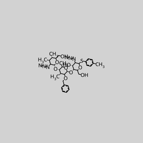 Cc1ccc(SC2OC(CO)[C@@H](O[C@@H]3OC(C)[C@@H](O[C@H]4OC(CO)[C@@H](C)[C@H](C)C4N=[N+]=[N-])[C@H](C)C3OCc3ccccc3)[C@H](O)C2N=[N+]=[N-])cc1